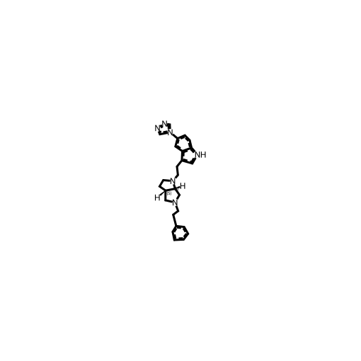 c1ccc(CCN2C[C@@H]3CCN(CCc4c[nH]c5ccc(-n6cnnc6)cc45)[C@@H]3C2)cc1